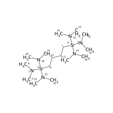 CN(C)[Si](CCCC[Si](N(C)C)(N(C)C)N(C)C)(N(C)C)N(C)C